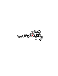 COCOc1ccc2c(c1)CN(C(=O)OC(C)(C)C)[C@@](C)([C@H](O)CNC(=O)c1cc(NC3CCC3)nc(N3CCCCC3)n1)C2